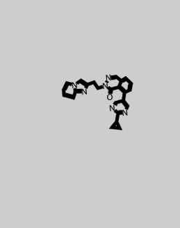 O=c1c2c(-c3cnc(C4CC4)nc3)cccc2cnn1CCc1cn2ccccc2n1